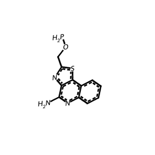 Nc1nc2ccccc2c2sc(COP)nc12